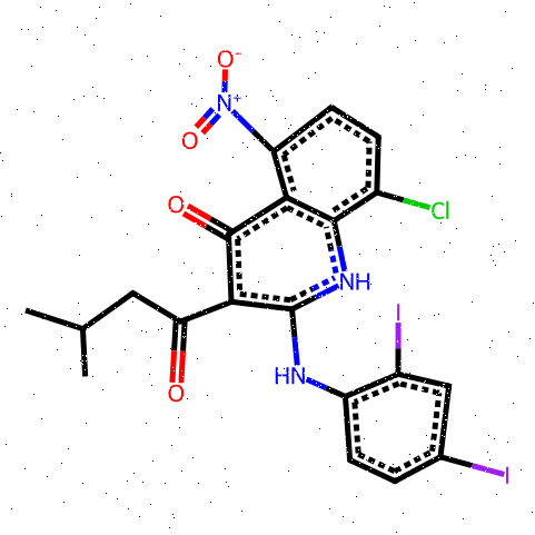 CC(C)CC(=O)c1c(Nc2ccc(I)cc2I)[nH]c2c(Cl)ccc([N+](=O)[O-])c2c1=O